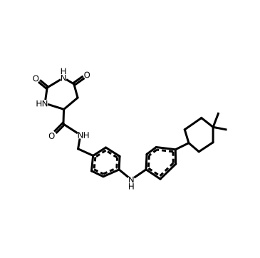 CC1(C)CCC(c2ccc(Nc3ccc(CNC(=O)C4CC(=O)NC(=O)N4)cc3)cc2)CC1